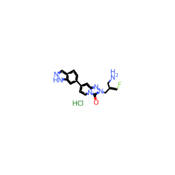 Cl.NC/C(=C\F)Cn1nc2cc(-c3ccc4cn[nH]c4c3)ccn2c1=O